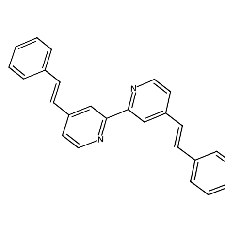 C(=Cc1ccnc(-c2cc(C=Cc3ccccc3)ccn2)c1)c1ccccc1